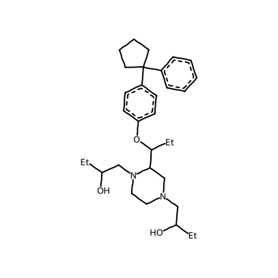 CCC(O)CN1CCN(CC(O)CC)C(C(CC)Oc2ccc(C3(c4ccccc4)CCCC3)cc2)C1